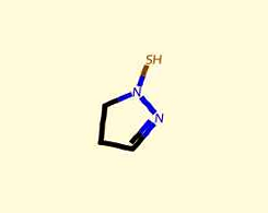 SN1CCC=N1